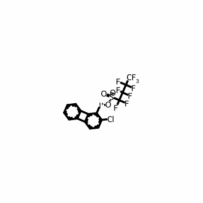 O=S(=O)(O[I+]c1c(Cl)ccc2c1-c1ccccc1-2)C(F)(F)C(F)(F)C(F)(F)C(F)(F)F